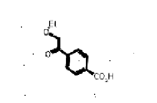 CCOCC(=O)c1ccc(C(=O)O)cc1